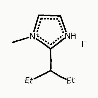 CCC(CC)c1[nH]cc[n+]1C.[I-]